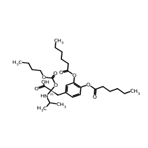 CCCCCC(=O)Oc1ccc(C[C@](NC(C)C)(OC(=O)OCCCC)C(=O)O)cc1OC(=O)CCCCC